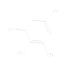 CC(C)c1cc(C#N)c(O)c(C(C)C)c1